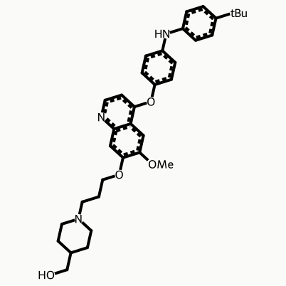 COc1cc2c(Oc3ccc(Nc4ccc(C(C)(C)C)cc4)cc3)ccnc2cc1OCCCN1CCC(CO)CC1